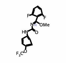 CO/C(=N\C(=O)Nc1ccc(OC(F)(F)F)cc1)c1c(F)cccc1F